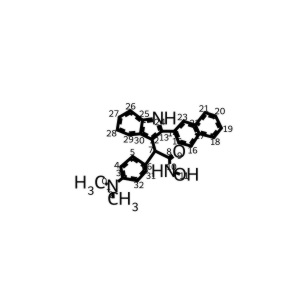 CN(C)c1ccc(C(C(=O)NO)c2c(-c3ccc4ccccc4c3)[nH]c3ccccc23)cc1